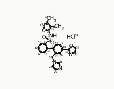 Cc1noc(NS(=O)(=O)c2ccccc2-c2ccc(-c3ncco3)cc2Cn2ccnc2)c1C.Cl